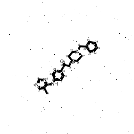 Cc1cncnc1Nc1ccc(C(=O)CC2CCN(Cc3ccccc3)CC2)cc1